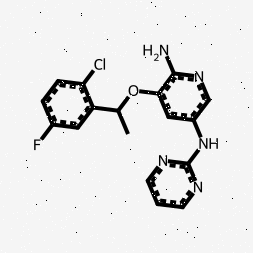 CC(Oc1cc(Nc2ncccn2)cnc1N)c1cc(F)ccc1Cl